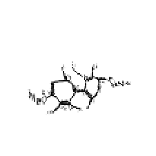 COc1cc(C)c(-c2c(C)cc(OC)c(C)c2C)c(C)c1C